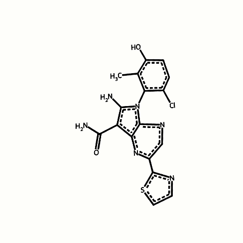 Cc1c(O)ccc(Cl)c1-n1c(N)c(C(N)=O)c2nc(-c3nccs3)cnc21